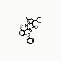 CCC(CC)c1cc(C)n2nc(-c3c(F)cccc3Oc3ccccc3)n(C)c(=O)c12